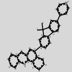 CC1(C)c2cc(-c3ccncc3)ccc2-c2ccc(-c3cc4cc5ccccc5nc4c4ccccc34)cc21